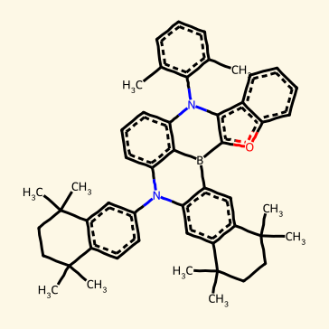 Cc1cccc(C)c1N1c2cccc3c2B(c2cc4c(cc2N3c2ccc3c(c2)C(C)(C)CCC3(C)C)C(C)(C)CCC4(C)C)c2oc3ccccc3c21